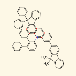 CC1(C)c2ccccc2-c2ccc(-c3cccc(N(c4ccc5c(c4)-c4ccccc4C5(c4ccccc4)c4ccccc4)c4cccc(-c5ccccc5)c4-c4ccccc4-c4ccccc4)c3)cc21